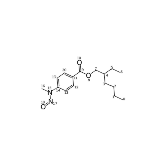 CCCCC(CC)COC(=O)c1ccc(N(C)N=O)cc1